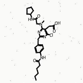 CCCCCC(=O)Nc1ccc(Cc2nc(Cl)c(CC(=O)O)c(N(C)CC(=O)NC3CCCC3)n2)cc1